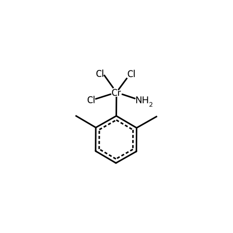 Cc1cccc(C)[c]1[Cr]([NH2])([Cl])([Cl])[Cl]